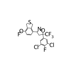 FOc1ccc(C2=NOC(c3cc(Cl)c(F)c(Cl)c3)(C(F)(F)F)C2)c2c1CSC2